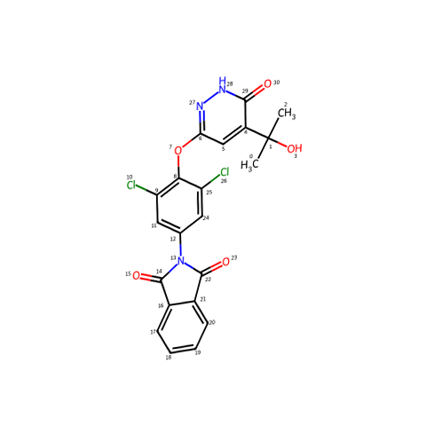 CC(C)(O)c1cc(Oc2c(Cl)cc(N3C(=O)c4ccccc4C3=O)cc2Cl)n[nH]c1=O